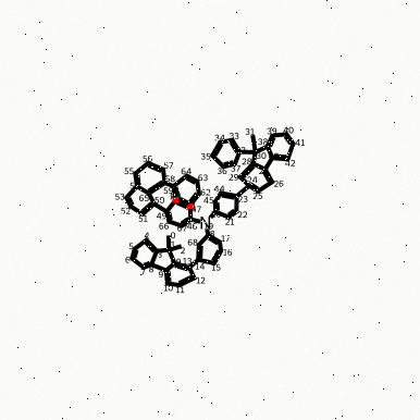 CC1(C)c2ccccc2-c2cccc(-c3cccc(N(c4ccc(-c5ccc6c(c5)C(C)(c5ccccc5)c5ccccc5-6)cc4)c4ccc(-c5cccc6cccc(-c7ccccc7)c56)cc4)c3)c21